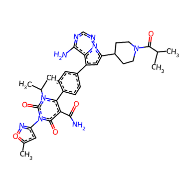 Cc1cc(-n2c(=O)c(C(N)=O)c(-c3ccc(-c4cc(C5CCN(C(=O)C(C)C)CC5)n5ncnc(N)c45)cc3)n(C(C)C)c2=O)no1